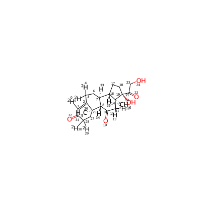 [2H]C1=C2C([2H])([2H])C[C@@H]3[C@H](C(=O)C([2H])([2H])[C@@]4(C)[C@H]3CC[C@]4(O)C(=O)CO)[C@@]2(C)CC([2H])([2H])C1=O